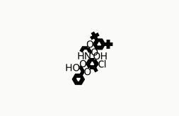 CCC(Oc1ccc(C(C)(C)C)cc1C(C)(C)C)C(=O)Nc1cc(OC(C(=O)O)c2ccccc2)c(C)c(Cl)c1O